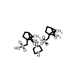 C1CNCCN1.CC1(C)C2CCC1(CS(=O)(=O)O)C(=O)C2.CC1(C)C2CCC1(CS(=O)(=O)O)C(=O)C2